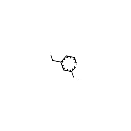 Br.COc1cc(CBr)ccn1